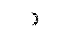 N#Cc1ccc(Oc2ccc(S(=O)(=O)c3ccc(Oc4ccc(C#N)c(C#N)c4)cc3)cc2)cc1C#N